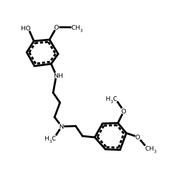 COc1cc(NCCCN(C)CCc2ccc(OC)c(OC)c2)ccc1O